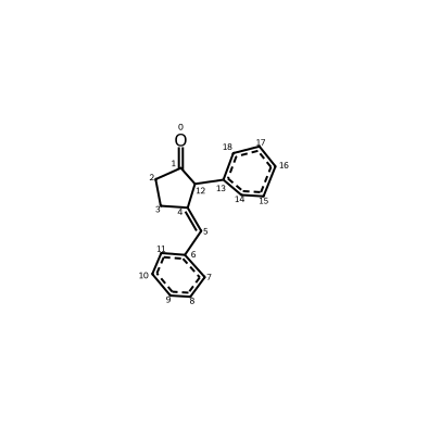 O=C1CCC(=Cc2ccccc2)C1c1ccccc1